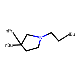 CCCCC1(CCC)CCN(CCC(C)CC)C1